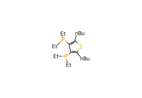 CCCCc1sc(CCCC)c(P(CC)CC)c1P(CC)CC